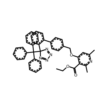 CCOC(=O)c1c(OCc2ccc(-c3ccccc3C3(C(c4ccccc4)(c4ccccc4)c4ccccc4)N=NN=N3)cc2)cc(C)nc1C